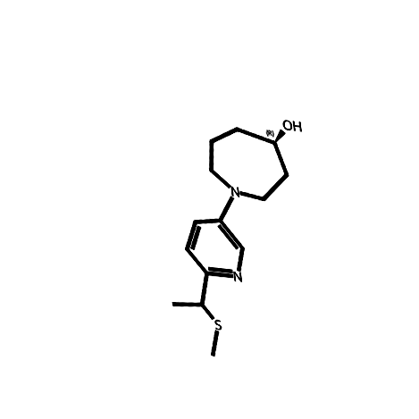 CSC(C)c1ccc(N2CCC[C@@H](O)CC2)cn1